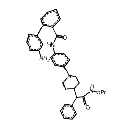 CCCNC(=O)C(c1ccccc1)C1CCN(c2ccc(NC(=O)c3ccccc3-c3cccc(N)c3)cc2)CC1